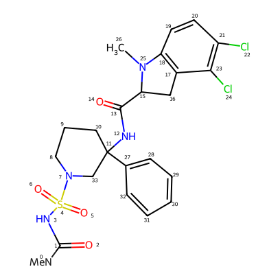 CNC(=O)NS(=O)(=O)N1CCCC(NC(=O)C2Cc3c(ccc(Cl)c3Cl)N2C)(c2ccccc2)C1